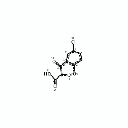 O=C(O)c1coc2ccc(Cl)cc2c1=O